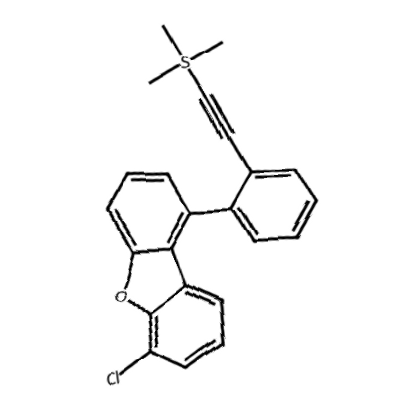 CS(C)(C)C#Cc1ccccc1-c1cccc2oc3c(Cl)cccc3c12